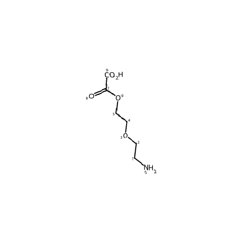 NCCOCCOC(=O)C(=O)O